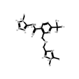 Cc1nc(COCc2nc(C(F)(F)F)ccc2C(=O)Nc2nnnn2C)nn1C